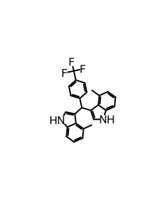 Cc1cccc2[nH]cc(C(c3ccc(C(F)(F)F)cc3)c3c[nH]c4cccc(C)c34)c12